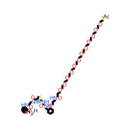 CC(=O)SCCOCCOCCOCCOCCOCCOCCOCCOCCOCCOCCOCCOCCC(=O)NCCCOc1ccccc1CNC(=O)Nc1nc(C(=O)NCC(=O)NC23C=C(C=CC2)C3(C)C(=O)O)cs1